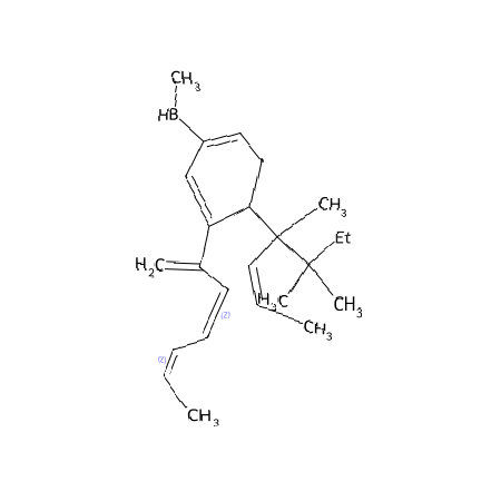 C=C(/C=C\C=C/C)C1=CC(BC)=CCC1C(C)(C=CC)C(C)(C)CC